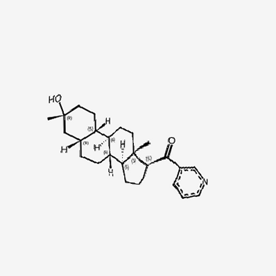 C[C@@]1(O)CC[C@H]2[C@H](CC[C@@H]3[C@@H]2CC[C@]2(C)[C@@H](C(=O)c4cccnc4)CC[C@@H]32)C1